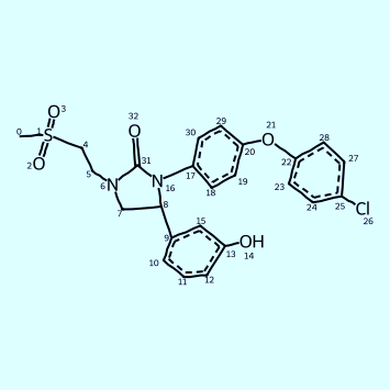 CS(=O)(=O)CCN1CC(c2cccc(O)c2)N(c2ccc(Oc3ccc(Cl)cc3)cc2)C1=O